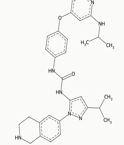 CC(C)Nc1cc(Oc2ccc(NC(=O)Nc3cc(C(C)C)nn3-c3ccc4c(c3)CCNC4)cc2)ccn1